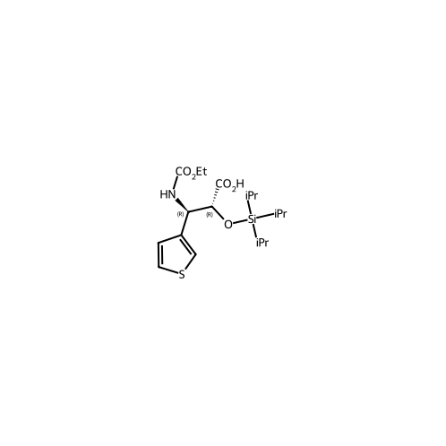 CCOC(=O)N[C@H](c1ccsc1)[C@@H](O[Si](C(C)C)(C(C)C)C(C)C)C(=O)O